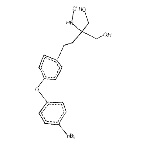 CCCCc1ccc(Oc2ccc(CCC(CO)(CO)NCl)cc2)cc1